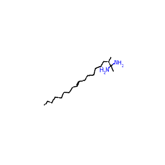 CCCCCCCCC=CCCCCCCC(C)C(C)(N)N